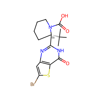 CC(C)(C)[C@]1(c2nc3cc(Br)sc3c(=O)[nH]2)CCCCN1C(=O)O